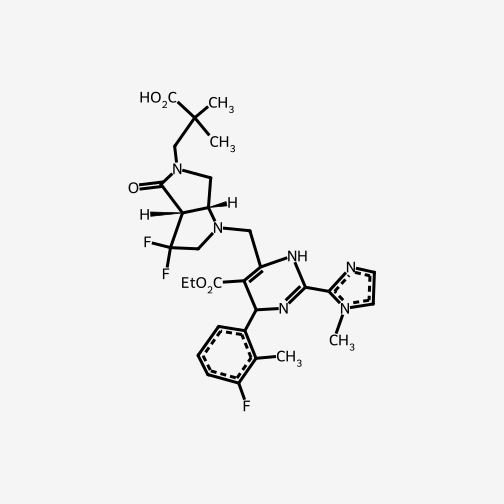 CCOC(=O)C1=C(CN2CC(F)(F)[C@@H]3C(=O)N(CC(C)(C)C(=O)O)C[C@@H]32)NC(c2nccn2C)=NC1c1cccc(F)c1C